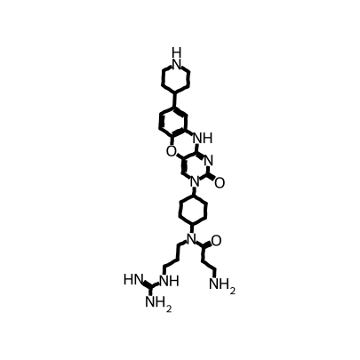 N=C(N)NCCCN(C(=O)CCN)C1CCC(n2cc3c(nc2=O)Nc2cc(C4CCNCC4)ccc2O3)CC1